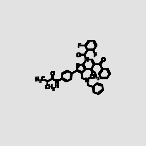 CC(C)C(=O)Nc1ccc(-c2sc3c(c2CN(C)Cc2ccccc2)c(=O)c(C(=O)c2ccccc2)cn3C(=O)c2c(F)cccc2F)cc1